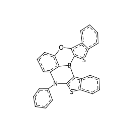 c1ccc(N2c3cccc4c3B(c3sc5ccccc5c3O4)c3c2sc2ccccc32)cc1